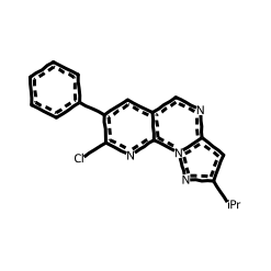 CC(C)c1cc2ncc3cc(-c4ccccc4)c(Cl)nc3n2n1